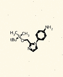 CC(C)(C)[Si](C)(C)OCc1nccn1-c1ccc(N)cc1